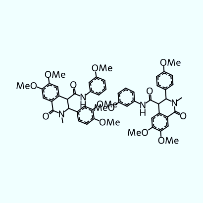 COc1ccc(C2C(C(=O)Nc3cccc(OC)c3)c3cc(OC)c(OC)cc3C(=O)N2C)cc1.COc1cccc(NC(=O)C2c3cc(OC)c(OC)cc3C(=O)N(C)C2c2ccc(OC)c(OC)c2)c1